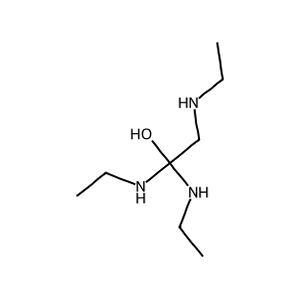 CCNCC(O)(NCC)NCC